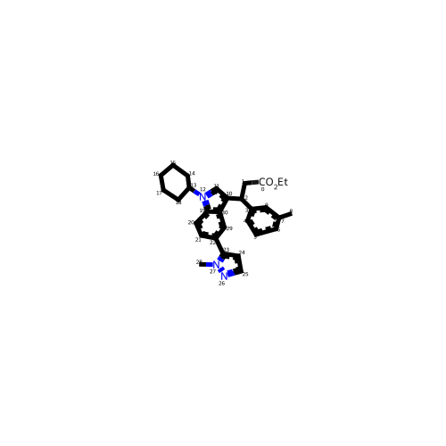 CCOC(=O)CC(c1cccc(C)c1)c1cn(C2CCCCC2)c2ccc(-c3ccnn3C)cc12